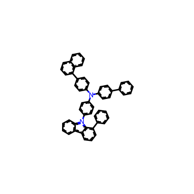 c1ccc(-c2ccc(N(c3ccc(-c4cccc5ccccc45)cc3)c3ccc(-n4c5ccccc5c5cccc(-c6ccccc6)c54)cc3)cc2)cc1